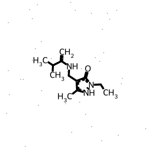 C=C(NCc1c(C)[nH]n(CC)c1=O)C(C)C